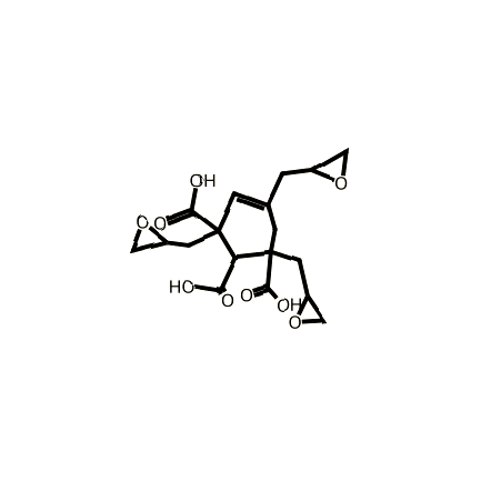 O=C(O)C1C(CC2CO2)(C(=O)O)C=C(CC2CO2)CC1(CC1CO1)C(=O)O